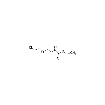 CCOC(=O)NCCOCCCl